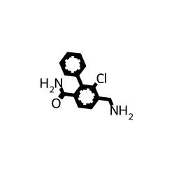 NCc1ccc(C(N)=O)c(-c2ccccc2)c1Cl